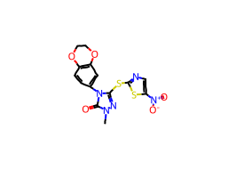 Cn1nc(Sc2ncc([N+](=O)[O-])s2)n(-c2ccc3c(c2)OCCO3)c1=O